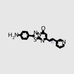 Nc1ccc(-c2nn3c(=O)cc(/C=C/c4cccnc4)nc3s2)cc1